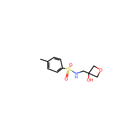 Cc1ccc(S(=O)(=O)NCC2(O)COC2)cc1